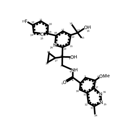 COc1cc(C(=O)NCC(O)(c2cc(C(C)(C)O)cc(-c3ccc(F)cc3)n2)C2CC2)cc2cc(C)nnc12